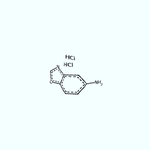 Cl.Cl.Nc1ccc2ocnc2c1